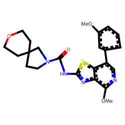 COc1cccc(-c2cnc(OC)c3nc(NC(=O)N4CCC5(CCOCC5)C4)sc23)c1